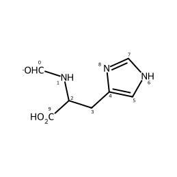 O=[C]NC(Cc1c[nH]cn1)C(=O)O